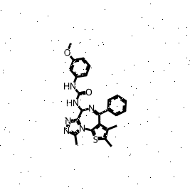 COc1cccc(NC(=O)NC2N=C(c3ccccc3)c3c(sc(C)c3C)-n3c(C)nnc32)c1